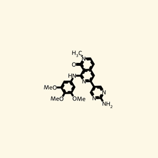 COc1cc(Nc2nc(-c3cnc(N)nc3)cc3ccn(C)c(=O)c23)cc(OC)c1OC